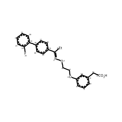 CC/C(=N\OCCOc1cccc(CC(=O)O)c1)c1ccc(-c2ccccc2F)cc1